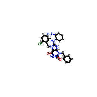 NC1CCCCC1Nc1nc2c(c(=O)[nH]c(=O)n2Cc2ccccc2)n1Cc1ccccc1Cl